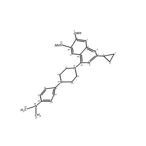 COc1cc2nc(C3CC3)nc(N3CCN(c4ccc(N(C)C)cc4)CC3)c2cc1OC